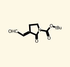 CC(C)(C)OC(=O)N1CC/C(=C\C=O)C1=O